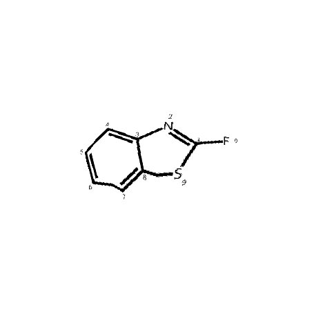 Fc1nc2ccccc2s1